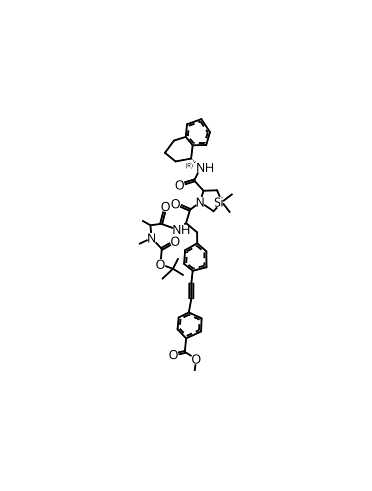 COC(=O)c1ccc(C#Cc2ccc(CC(NC(=O)C(C)N(C)C(=O)OC(C)(C)C)C(=O)N3C[Si](C)(C)CC3C(=O)N[C@@H]3CCCc4ccccc43)cc2)cc1